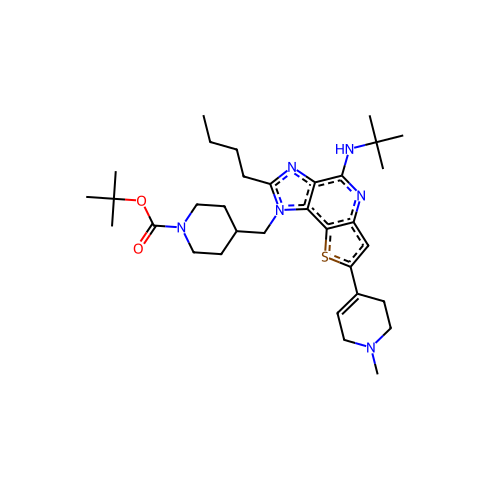 CCCCc1nc2c(NC(C)(C)C)nc3cc(C4=CCN(C)CC4)sc3c2n1CC1CCN(C(=O)OC(C)(C)C)CC1